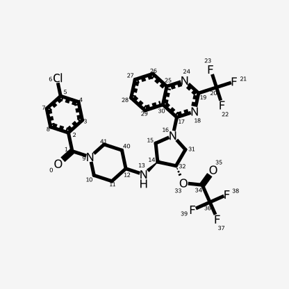 O=C(c1ccc(Cl)cc1)N1CCC(N[C@H]2CN(c3nc(C(F)(F)F)nc4ccccc34)C[C@@H]2OC(=O)C(F)(F)F)CC1